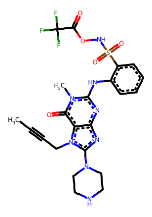 CC#CCn1c(N2CCNCC2)nc2nc(Nc3ccccc3S(=O)(=O)NOC(=O)C(F)(F)F)n(C)c(=O)c21